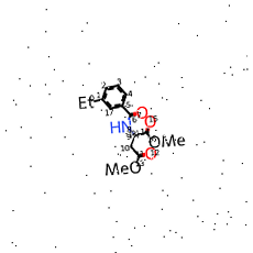 CCc1cccc(C(=O)N[C@H](CC(=O)OC)C(=O)OC)c1